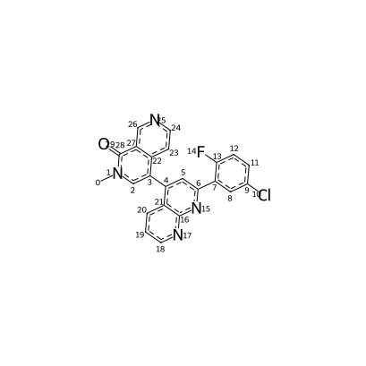 Cn1cc(-c2cc(-c3cc(Cl)ccc3F)nc3ncccc23)c2ccncc2c1=O